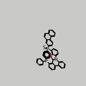 S=P(c1ccccc1)(c1ccc2c(ccc3ccccc32)c1)c1cccc2c1nc1c3c(P(c4ccccc4)c4ccccc4)cccc3c3ccccc3n21